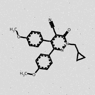 COc1ccc(-c2nn(CC3CC3)c(=O)c(C#N)c2-c2ccc(OC)cc2)cc1